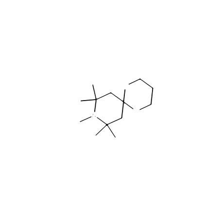 CN1C(C)(C)CC2(CC1(C)C)OCCCO2